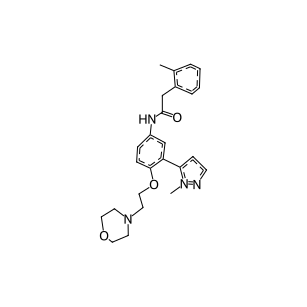 Cc1ccccc1CC(=O)Nc1ccc(OCCN2CCOCC2)c(-c2ccnn2C)c1